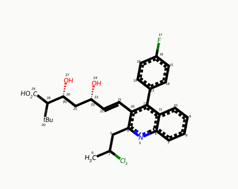 CC(Cl)Cc1nc2ccccc2c(-c2ccc(F)cc2)c1C=C[C@@H](O)C[C@@H](O)C(C(=O)O)C(C)(C)C